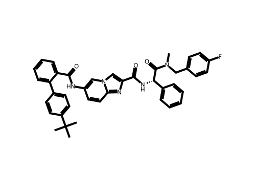 CN(Cc1ccc(F)cc1)C(=O)[C@@H](NC(=O)c1cn2cc(NC(=O)c3ccccc3-c3ccc(C(C)(C)C)cc3)ccc2n1)c1ccccc1